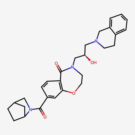 O=C1c2ccc(C(=O)N3CC4CCC3C4)cc2OCCN1C[C@H](O)CN1CCc2ccccc2C1